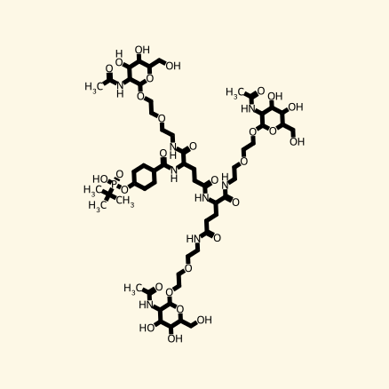 CC(=O)NC1C(OCCOCCNC(=O)CCC(NC(=O)CCC(NC(=O)C2CCC(OP(=O)(O)C(C)(C)C)CC2)C(=O)NCCOCCOC2OC(CO)C(O)C(O)C2NC(C)=O)C(=O)NCCOCCOC2OC(CO)C(O)C(O)C2NC(C)=O)OC(CO)C(O)C1O